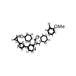 COc1ccc([C@H]2CC[C@H](CN(c3cc(-c4cnc(C5CC5)s4)ccn3)C(=O)[C@H]3CC[C@H](O)CC3)CC2)cc1C